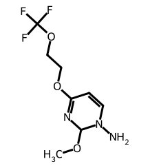 COC1N=C(OCCOC(F)(F)F)C=CN1N